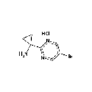 Cl.NC1(c2ncc(Br)cn2)CC1